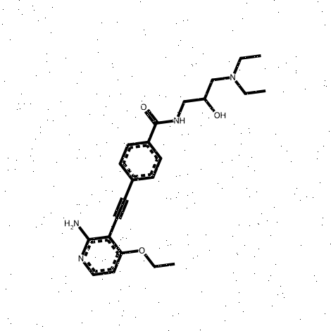 CCOc1ccnc(N)c1C#Cc1ccc(C(=O)NCC(O)CN(CC)CC)cc1